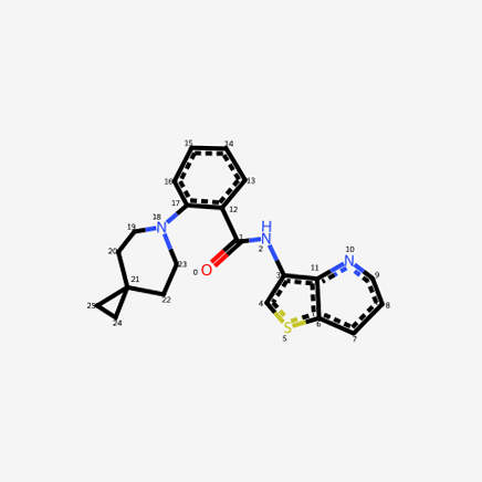 O=C(Nc1csc2cccnc12)c1ccccc1N1CCC2(CC1)CC2